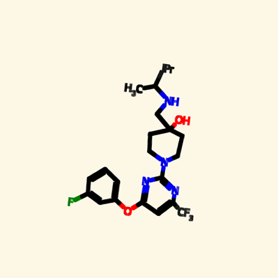 CC(C)C(C)NCC1(O)CCN(c2nc(Oc3cccc(F)c3)cc(C(F)(F)F)n2)CC1